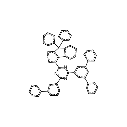 c1ccc(-c2cccc(-c3nc(-c4cc(-c5ccccc5)cc(-c5ccccc5)c4)nc(-c4cccc5c4-c4ccccc4C5(c4ccccc4)c4ccccc4)n3)c2)cc1